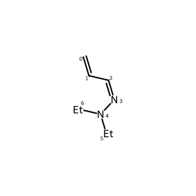 C=C/C=N\N(CC)CC